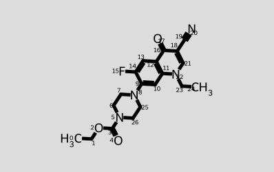 CCOC(=O)N1CCN(c2cc3c(cc2F)c(=O)c(C#N)cn3CC)CC1